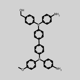 COc1ccc(N(c2ccc(N)cc2)c2ccc(-c3ccc(N(c4ccc(N)cc4)c4ccc(CO)cc4)cc3)cc2)cc1